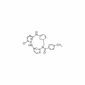 Cc1ccc(C(=O)N2CC3C=CC=C(C3)Nc3ncc(Cl)c(n3)Nc3cccc2c3)cc1